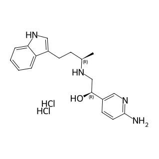 C[C@H](CCc1c[nH]c2ccccc12)NC[C@H](O)c1ccc(N)nc1.Cl.Cl